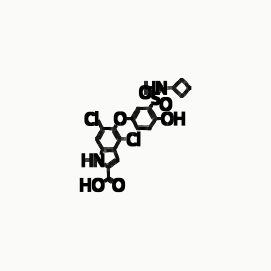 O=C(O)c1cc2c(Cl)c(Oc3ccc(O)c(S(=O)(=O)NC4CCC4)c3)c(Cl)cc2[nH]1